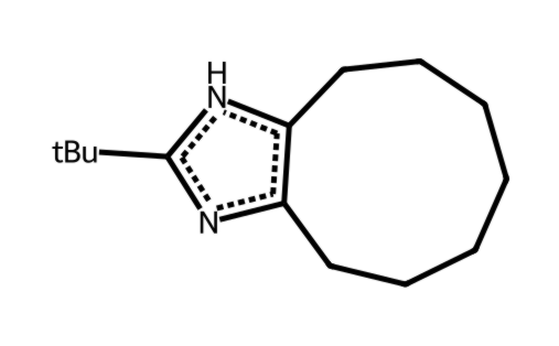 CC(C)(C)c1nc2c([nH]1)CCCCCCC2